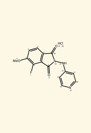 COc1ccc2c(c1F)C(=O)N(Nc1ccncc1)C2=O.Cl